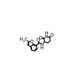 Cc1cc2cccc(C(=O)NC3CCC(=O)NC3=O)c2o1